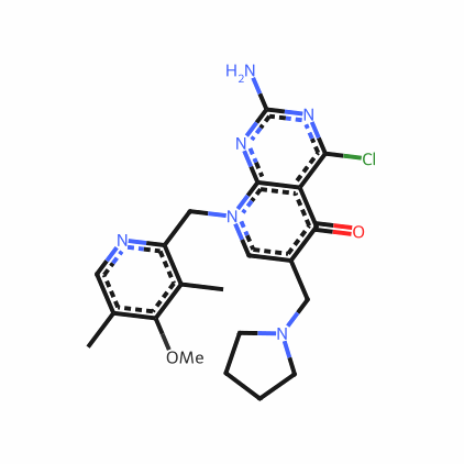 COc1c(C)cnc(Cn2cc(CN3CCCC3)c(=O)c3c(Cl)nc(N)nc32)c1C